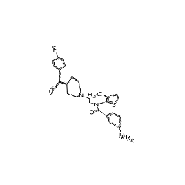 CC(=O)Nc1cccc(C(=O)N(CCN2CCC(C(=O)c3ccc(F)cc3)CC2)c2sccc2C)c1